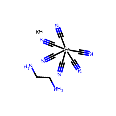 N#[C][Fe]([C]#N)([C]#N)([C]#N)([C]#N)[C]#N.NCCN.[KH]